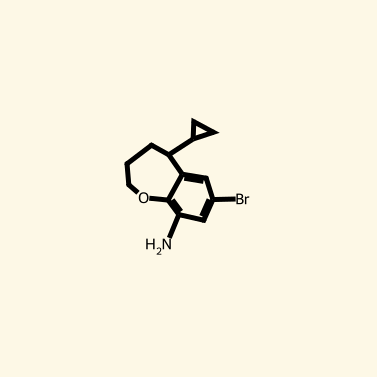 Nc1cc(Br)cc2c1OCCCC2C1CC1